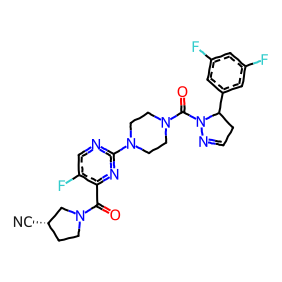 N#C[C@H]1CCN(C(=O)c2nc(N3CCN(C(=O)N4N=CCC4c4cc(F)cc(F)c4)CC3)ncc2F)C1